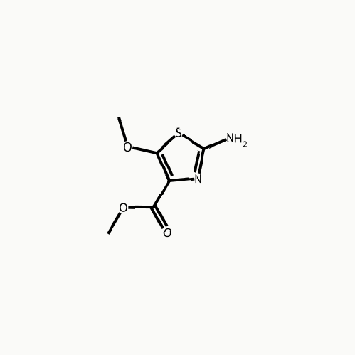 COC(=O)c1nc(N)sc1OC